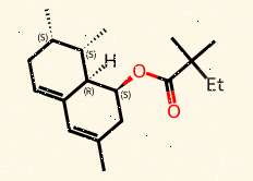 CCC(C)(C)C(=O)O[C@H]1CC(C)=CC2=CC[C@H](C)[C@H](C)[C@H]21